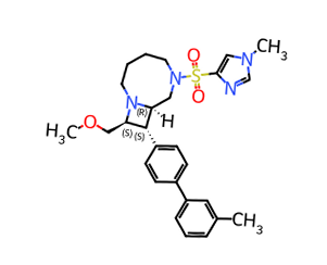 COC[C@@H]1[C@@H](c2ccc(-c3cccc(C)c3)cc2)[C@@H]2CN(S(=O)(=O)c3cn(C)cn3)CCCCN12